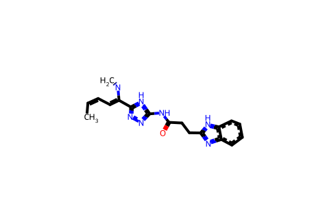 C=N/C(=C\C=C/C)c1nnc(NC(=O)CCc2nc3ccccc3[nH]2)[nH]1